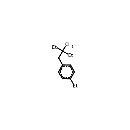 CCc1ccc(CC(C)(CC)CC)cc1